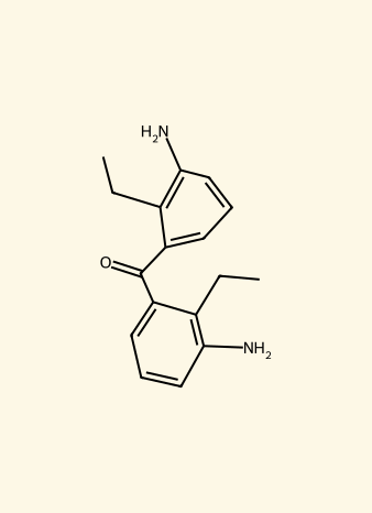 CCc1c(N)cccc1C(=O)c1cccc(N)c1CC